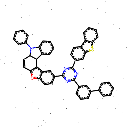 C1=CC2C(c3ccccc3N2c2ccccc2)c2c1oc1ccc(-c3nc(-c4cccc(-c5ccccc5)c4)nc(-c4ccc5c(c4)sc4ccccc45)n3)cc21